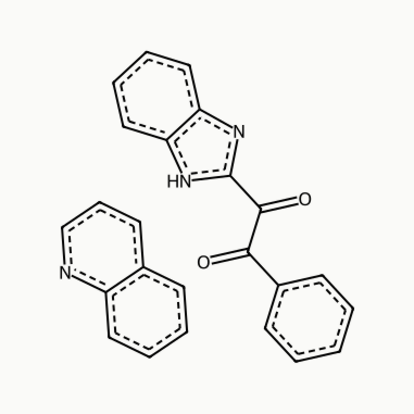 O=C(C(=O)c1nc2ccccc2[nH]1)c1ccccc1.c1ccc2ncccc2c1